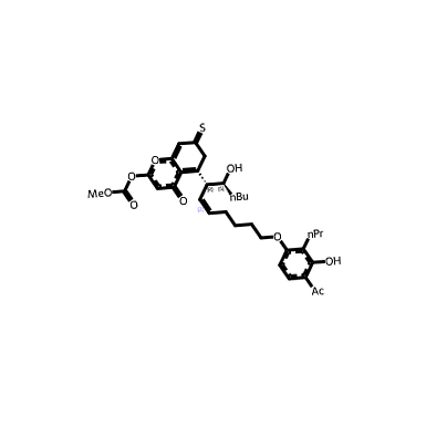 CCCC[C@H](O)[C@H](/C=C\CCCCOc1ccc(C(C)=O)c(O)c1CCC)C1=c2c(=O)cc(OC(=O)OC)oc2=CC(=S)C1